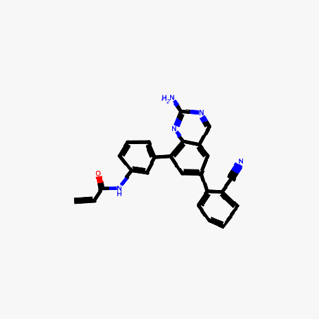 C=CC(=O)Nc1cccc(-c2cc(-c3ccccc3C#N)cc3cnc(N)nc23)c1